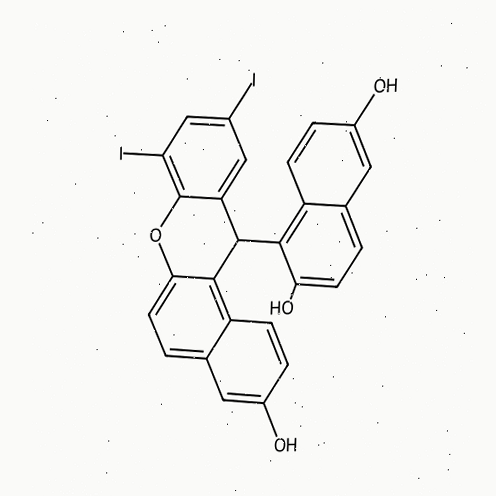 Oc1ccc2c(C3c4cc(I)cc(I)c4Oc4ccc5cc(O)ccc5c43)c(O)ccc2c1